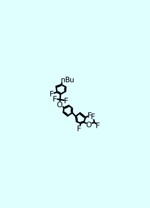 CCCCc1ccc(C(F)(F)Oc2ccc(-c3cc(F)c(OC(F)F)c(F)c3)cc2)c(F)c1